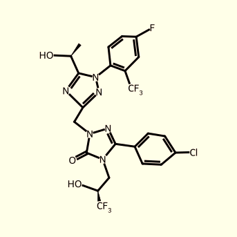 C[C@H](O)c1nc(Cn2nc(-c3ccc(Cl)cc3)n(C[C@H](O)C(F)(F)F)c2=O)nn1-c1ccc(F)cc1C(F)(F)F